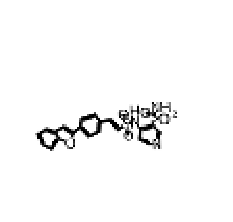 NS(=O)(=O)c1cnccc1NS(=O)(=O)/C=C/c1ccc(-c2cc3ccccc3o2)cc1